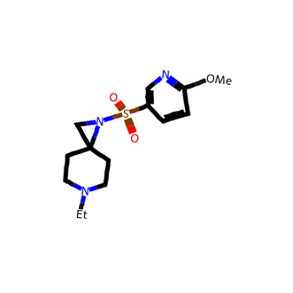 CCN1CCC2(CC1)CN2S(=O)(=O)c1ccc(OC)nc1